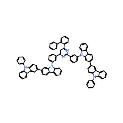 c1ccc(-c2ccccc2-c2cc(-c3cccc(-n4c5ccccc5c5ccc(-c6ccc7c(c6)c6ccccc6n7-c6ccccc6)cc54)c3)nc(-c3cccc(-n4c5ccccc5c5ccc(-c6ccc7c(c6)c6ccccc6n7-c6ccccc6)cc54)c3)n2)cc1